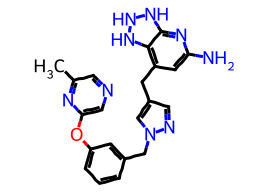 Cc1cncc(Oc2cccc(Cn3cc(Cc4cc(N)nc5c4NNN5)cn3)c2)n1